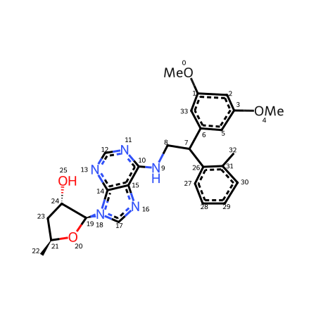 COc1cc(OC)cc(C(CNc2ncnc3c2ncn3[C@H]2O[C@@H](C)C[C@@H]2O)c2ccccc2C)c1